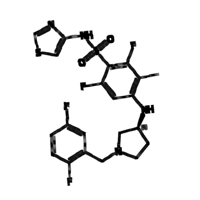 Cc1c(N[C@H]2CCN(Cc3cc(F)ccc3F)C2)cc(F)c(S(=O)(=O)Nc2cscn2)c1F